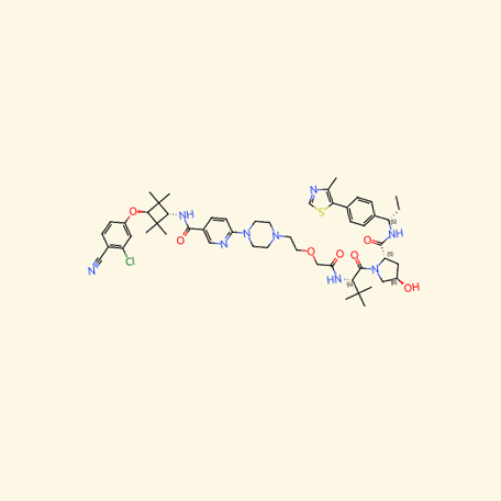 CC[C@H](NC(=O)[C@@H]1C[C@@H](O)CN1C(=O)[C@@H](NC(=O)COCCN1CCN(c2ccc(C(=O)N[C@H]3C(C)(C)[C@H](Oc4ccc(C#N)c(Cl)c4)C3(C)C)cn2)CC1)C(C)(C)C)c1ccc(-c2scnc2C)cc1